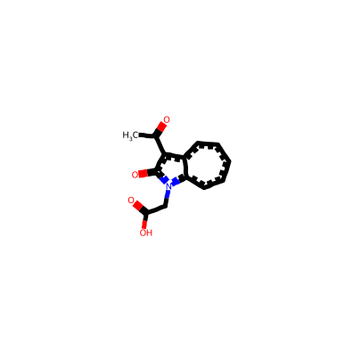 CC(=O)c1c2cccccc-2n(CC(=O)O)c1=O